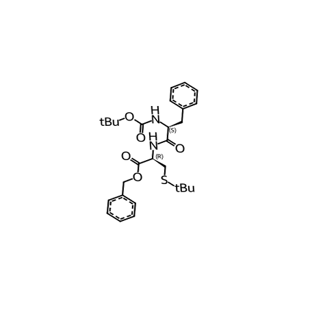 CC(C)(C)OC(=O)N[C@@H](Cc1ccccc1)C(=O)N[C@@H](CSC(C)(C)C)C(=O)OCc1ccccc1